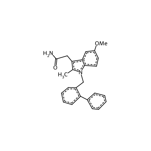 COc1ccc2c(c1)c(CC(N)=O)c(C)n2Cc1ccccc1-c1ccccc1